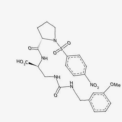 COc1cccc(CNC(=O)NC[C@H](NC(=O)[C@@H]2CCCN2S(=O)(=O)c2ccc([N+](=O)[O-])cc2)C(=O)O)c1